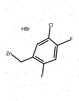 Br.Fc1cc(F)c([CH2][Zn])cc1Cl